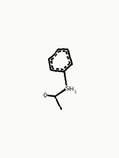 CC([O])[SiH2]c1ccccc1